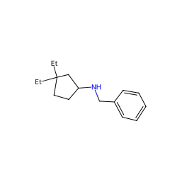 CCC1(CC)CCC(NCc2ccccc2)C1